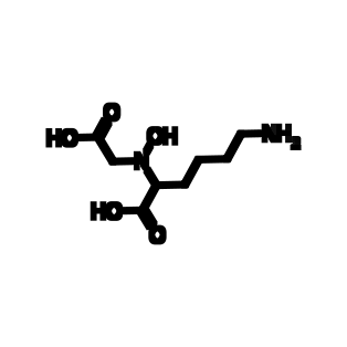 NCCCCC(C(=O)O)N(O)CC(=O)O